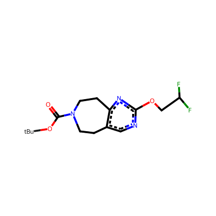 CC(C)(C)OC(=O)N1CCc2cnc(OCC(F)F)nc2CC1